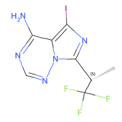 C[C@@H](c1nc(I)c2c(N)ncnn12)C(F)(F)F